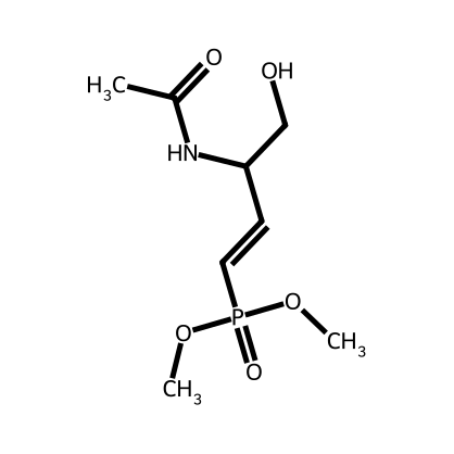 COP(=O)(/C=C/C(CO)NC(C)=O)OC